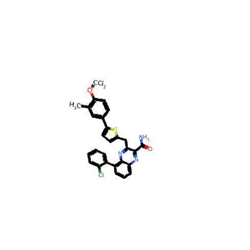 Cc1cc(-c2ccc(Cc3nc4c(-c5ccccc5Cl)cccc4nc3C(N)=O)s2)ccc1OC(Cl)(Cl)Cl